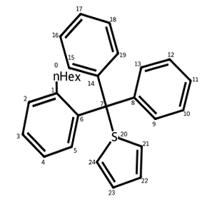 CCCCCCc1ccccc1C(c1ccccc1)(c1ccccc1)[S]1C=CC=C1